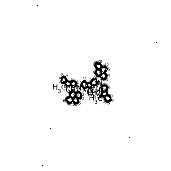 CC1(C)c2ccccc2-c2ccc(N(c3ccc4c(c3)C(C)(C)c3cc(N(c5ccc6c(c5)C(C)(C)c5ccccc5-6)c5ccc6ccc7cccc8ccc5c6c78)ccc3-4)c3ccc4ccc5cccc6ccc3c4c56)cc21